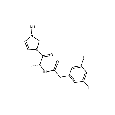 C[C@@H](NC(=O)Cc1cc(F)cc(F)c1)C(=O)N1C=CN(N)C1